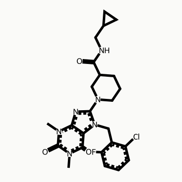 Cn1c(=O)c2c(nc(N3CCCC(C(=O)NCC4CC4)C3)n2Cc2c(F)cccc2Cl)n(C)c1=O